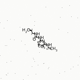 C=CCNC(=O)NC(=NC(=O)NCC)SC